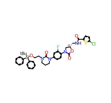 CC(C)(C)[Si](OCCN1CCCN(c2ccc(N3C[C@H](CNC(=O)c4ccc(Cl)s4)OC3=O)c(F)c2)C1=O)(c1ccccc1)c1ccccc1